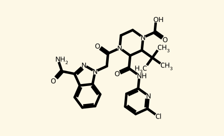 CC(C)(C)C1C(C(=O)Nc2cccc(Cl)n2)N(C(=O)Cn2nc(C(N)=O)c3ccccc32)CCN1C(=O)O